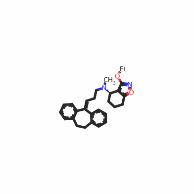 CCOc1noc2c1[C@H](N(C)CCC=C1c3ccccc3CCc3ccccc31)CCC2